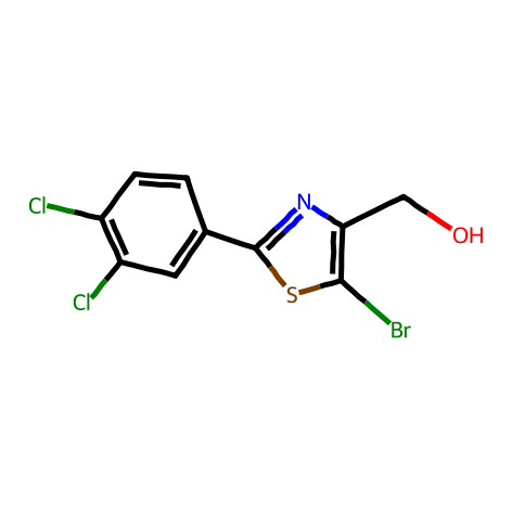 OCc1nc(-c2ccc(Cl)c(Cl)c2)sc1Br